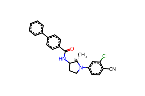 C[C@H]1C(NC(=O)c2ccc(-c3ccccc3)cc2)CCN1c1ccc(C#N)c(Cl)c1